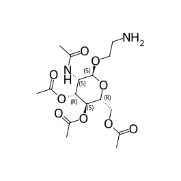 CC(=O)N[C@@H]1[C@@H](OCCN)O[C@H](COC(C)=O)[C@@H](OC(C)=O)[C@@H]1OC(C)=O